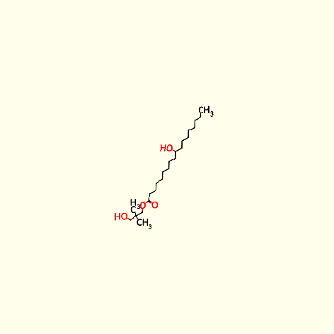 CCCCCCCCC(O)CCCCCCCCC(=O)OCC(C)(C)CO